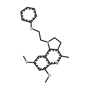 COc1cc(OC)c2nc(C)c3c(c2c1)N(CCOc1ccccc1)CC3